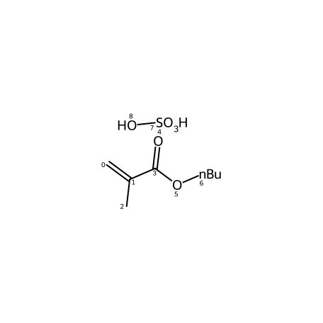 C=C(C)C(=O)OCCCC.O=S(=O)(O)O